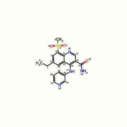 CCc1cc(S(C)(=O)=O)c2ncc(C(N)=O)c(Nc3cccnc3)c2c1